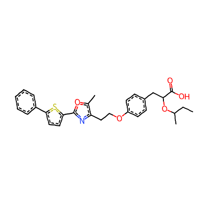 CCC(C)OC(Cc1ccc(OCCc2nc(-c3ccc(-c4ccccc4)s3)oc2C)cc1)C(=O)O